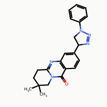 CC1(C)CCc2nc3cc(C4CN(c5ccccc5)N=N4)ccc3c(=O)n2C1